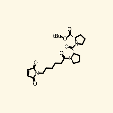 CC(C)(C)OC(=O)[C@@H]1CCCN1C(=O)[C@@H]1CCCN1C(=O)CCCCCN1C(=O)C=CC1=O